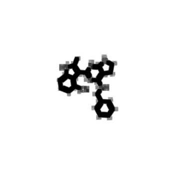 Cc1[nH]c2cccc(C#N)c2c1-c1nc(NCc2ccccc2)c2c(n1)OCC2